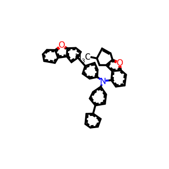 CC1C=Cc2oc3cccc(N(c4ccc(-c5ccccc5)cc4)c4ccc(-c5ccc6oc7ccccc7c6c5)cc4)c3c2C1